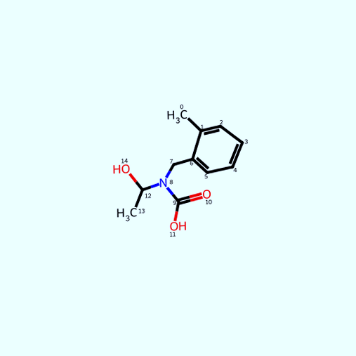 Cc1ccccc1CN(C(=O)O)C(C)O